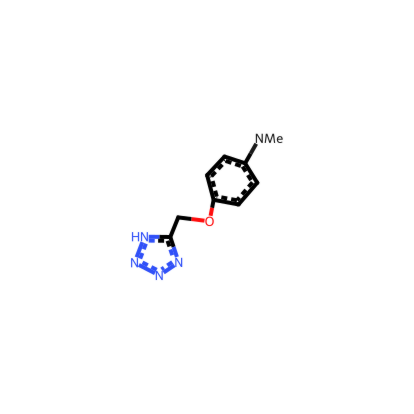 CNc1ccc(OCc2nnn[nH]2)cc1